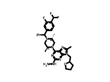 Cc1nc2c(N3C[C@@H](C)N(C(c4ccc(C(F)F)c(F)c4)C(C)C)C[C@@H]3C)nc(NN)nc2n1CC1CCCO1